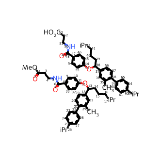 COC(=O)CCNC(=O)c1ccc(OC(CCCC(C)C)c2ccc(-c3ccc(C(C)C)cc3)c(C)c2)cc1.Cc1cc(C(CCCC(C)C)Oc2ccc(C(=O)NCCC(=O)O)cc2)ccc1-c1ccc(C(C)C)cc1